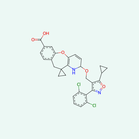 O=C(O)c1ccc2c(c1)OC1=C(NC(OCc3c(-c4c(Cl)cccc4Cl)noc3C3CC3)C=C1)C1(CC1)C2